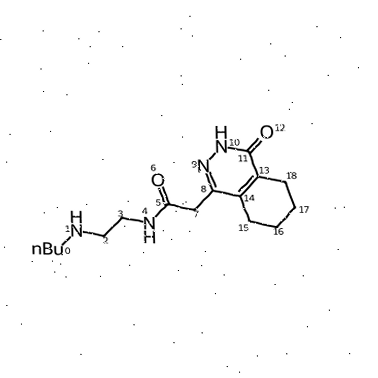 CCCCNCCNC(=O)Cc1n[nH]c(=O)c2c1CCCC2